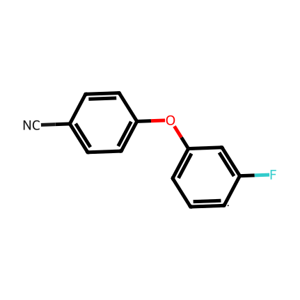 N#Cc1ccc(Oc2cc[c]c(F)c2)cc1